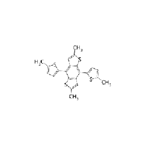 Cc1ccc(-c2c3cc(C)sc3c(-c3ccc(C)s3)c3cc(C)sc23)s1